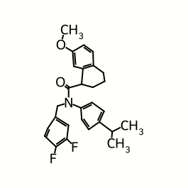 COc1ccc2c(c1)C(C(=O)N(Cc1ccc(F)c(F)c1)c1ccc(C(C)C)cc1)CCC2